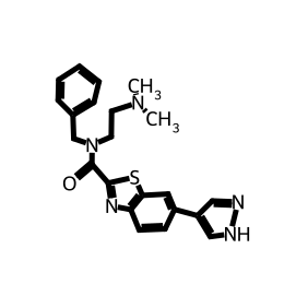 CN(C)CCN(Cc1ccccc1)C(=O)c1nc2ccc(-c3cn[nH]c3)cc2s1